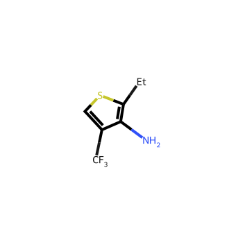 CCc1scc(C(F)(F)F)c1N